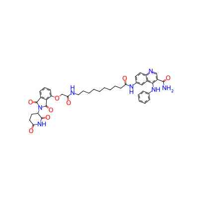 NC(=O)c1cnc2ccc(NC(=O)CCCCCCCCCNC(=O)COc3cccc4c3C(=O)N(C3CCC(=O)NC3=O)C4=O)cc2c1Nc1ccccc1